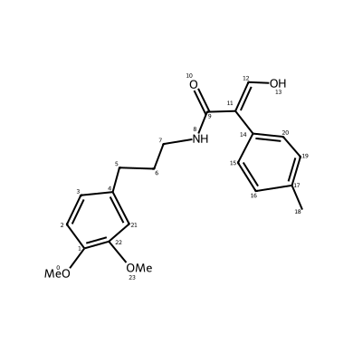 COc1ccc(CCCNC(=O)C(=CO)c2ccc(C)cc2)cc1OC